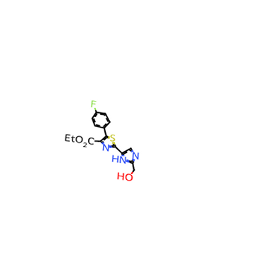 CCOC(=O)c1nc(-c2cnc(CO)[nH]2)sc1-c1ccc(F)cc1